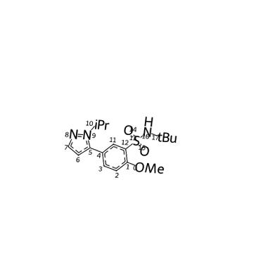 COc1ccc(-c2ccnn2C(C)C)cc1S(=O)(=O)NC(C)(C)C